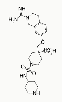 Cl.N=C(N)N1CCc2ccc(OCC3(C(=O)O)CCN(S(=O)(=O)NC4CCNCC4)CC3)cc2C1